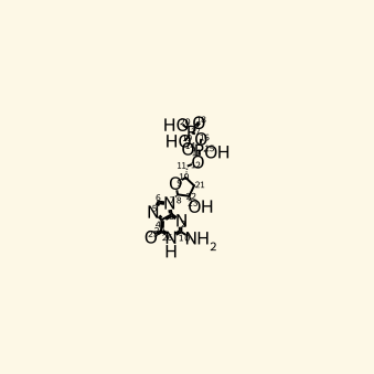 Nc1nc2c(ncn2[C@@H]2O[C@H](COP(=O)(O)OP(=O)(O)O)C[C@H]2O)c(=O)[nH]1